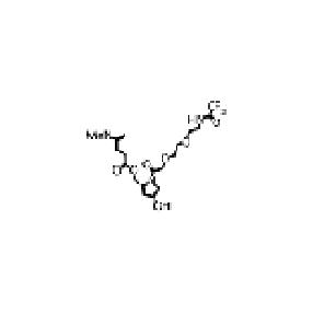 C=C(CCC(=O)OC[C@@H]1C[C@@H](O)CN1C(=O)COCCOCCNC(=O)C(F)(F)F)NC